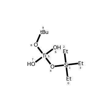 CC[Si](CC)(CC)[O][Ti]([OH])([OH])[O]C(C)(C)C